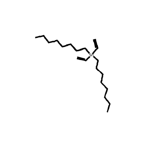 C=[CH][Sn]([CH]=C)([CH2]CCCCCCC)[CH2]CCCCCCC